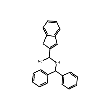 N#CC(NC(c1ccccc1)c1ccccc1)c1cc2ccccc2s1